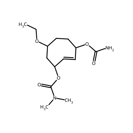 CCOC1CCC(OC(N)=O)/C=C/C(OC(=O)N(C)C)C1